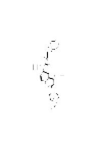 CCN1CCN(c2cc(C)c3cc(NC(=S)NCCN4CCNCC4)ccc3n2)CC1